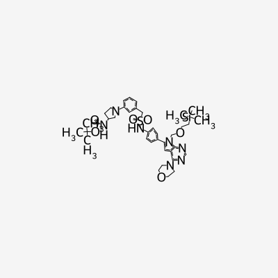 CC(C)(C)OC(=O)N[C@H]1CCN(c2cccc(CS(=O)(=O)Nc3ccc(-c4cc5c(N6CCOCC6)ncnc5n4COCC[Si](C)(C)C)cc3)c2)C1